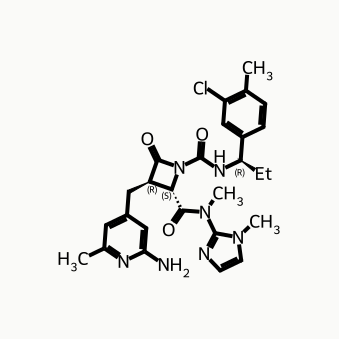 CC[C@@H](NC(=O)N1C(=O)[C@H](Cc2cc(C)nc(N)c2)[C@H]1C(=O)N(C)c1nccn1C)c1ccc(C)c(Cl)c1